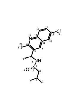 CC(C)C[S@@+]([O-])N[C@@H](C)c1cc2cc(Cl)ccc2nc1Cl